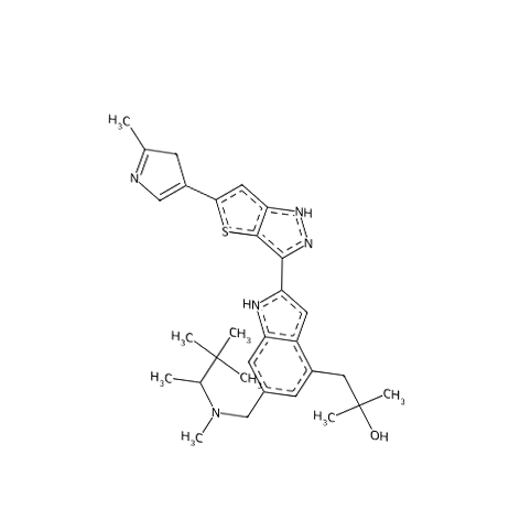 CC1=NC=C(c2cc3[nH]nc(-c4cc5c(CC(C)(C)O)cc(CN(C)C(C)C(C)(C)C)cc5[nH]4)c3s2)C1